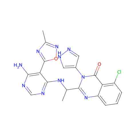 Cc1noc(-c2c(N)ncnc2NC(C)c2nc3cccc(Cl)c3c(=O)n2-c2cn[nH]c2)n1